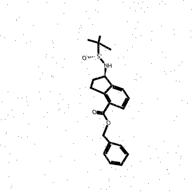 CC(C)(C)[S@@+]([O-])N[C@@H]1CCc2c(C(=O)OCc3ccccc3)cccc21